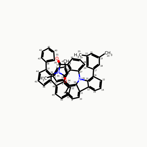 Cc1cc(C)cc(-c2cccc3c4cccc(-c5cc(C)cc(C)c5)c4n(-c4cccc5c4C(=O)N(c4c(-c6ccccc6)cccc4-c4ccccc4)C5=O)c23)c1